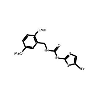 COc1ccc(OC)c(CNC(=O)Nc2ncc(C(C)C)s2)c1